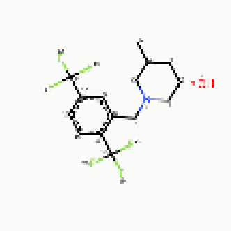 CC1C[C@H](O)CN(Cc2cc(C(F)(F)F)ccc2C(F)(F)F)C1